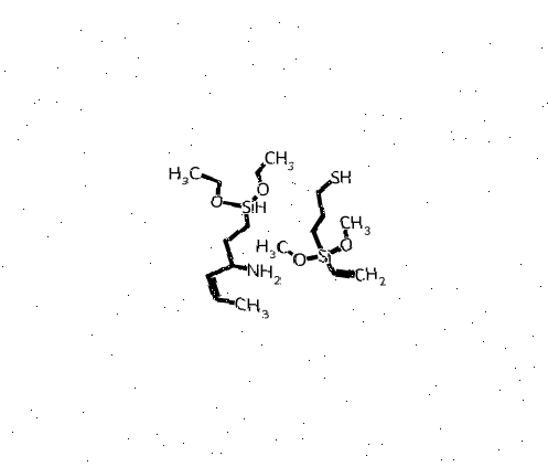 C/C=C\C(N)CC[SiH](OCC)OCC.C=C[Si](CCCS)(OC)OC